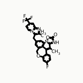 CC(=C1c2ccc(Cc3c(C)nc4cc(C(F)(F)F)ccn34)cc2COc2cc(F)ccc21)c1noc(=O)[nH]1